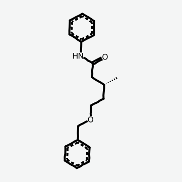 C[C@H](CCOCc1ccccc1)CC(=O)Nc1ccccc1